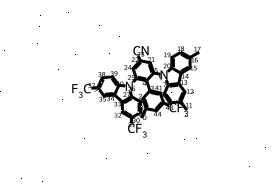 Cc1cc(-c2c(-n3c4ccc(C)cc4c4cc(C)ccc43)cc(C#N)cc2-n2c3ccc(C(F)(F)F)cc3c3cc(C(F)(F)F)ccc32)cc(C(F)(F)F)c1